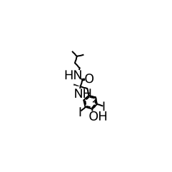 CC(C)CCNC(=O)[C@@](C)(N)Cc1cc(I)c(O)c(I)c1